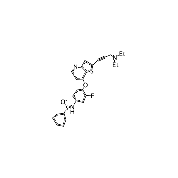 CCN(CC)CC#Cc1cc2nccc(Oc3ccc(N[S@+]([O-])c4ccccc4)cc3F)c2s1